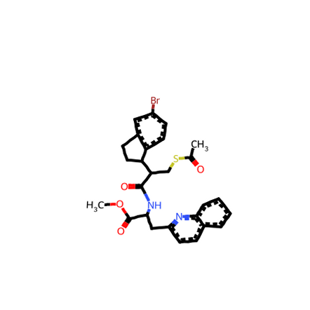 COC(=O)C(Cc1ccc2ccccc2n1)NC(=O)C(CSC(C)=O)C1CCc2cc(Br)ccc21